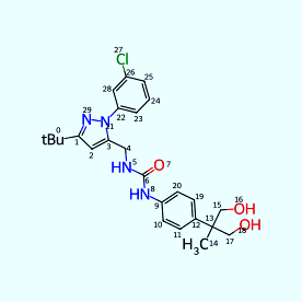 CC(C)(C)c1cc(CNC(=O)Nc2ccc(C(C)(CO)CO)cc2)n(-c2cccc(Cl)c2)n1